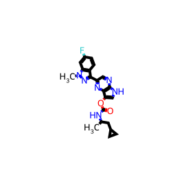 CC(CC1CC1)NC(=O)Oc1c[nH]c2ncc(-c3nn(C)c4cc(F)ccc34)nc12